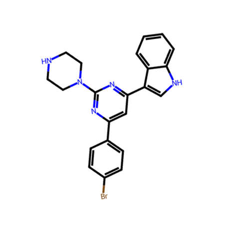 Brc1ccc(-c2cc(-c3c[nH]c4ccccc34)nc(N3CCNCC3)n2)cc1